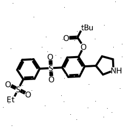 CCS(=O)(=O)c1cccc(S(=O)(=O)c2ccc(C3CCNC3)c(OC(=O)C(C)(C)C)c2)c1